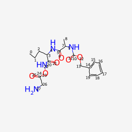 CCCC(NC(=O)C(C)NC(=O)OCc1ccccc1)C(=O)NOC(=O)CN